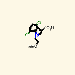 COCCn1cc(C(=O)O)c2c(Cl)ccc(Cl)c21